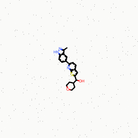 Cc1n[nH]c2ccc(-c3ccc4cc(C(O)C5CCOCC5)sc4n3)cc12